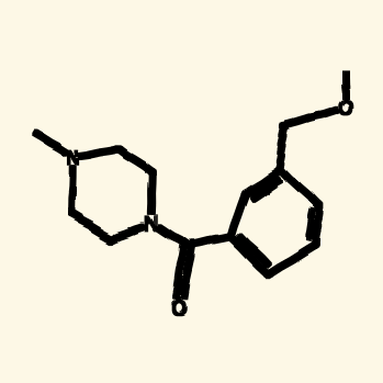 COCc1cccc(C(=O)N2CCN(C)CC2)c1